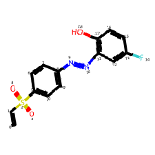 C=CS(=O)(=O)c1ccc(N=Nc2cc(F)ccc2O)cc1